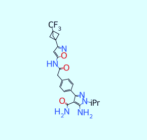 CC(C)n1nc(-c2ccc(CC(=O)Nc3cc(C45CC(C(F)(F)F)(C4)C5)no3)cc2)c(C(N)=O)c1N